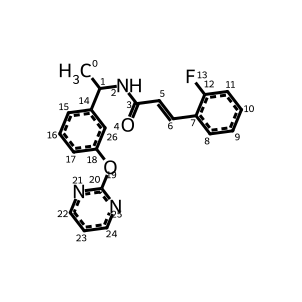 CC(NC(=O)C=Cc1ccccc1F)c1cccc(Oc2ncccn2)c1